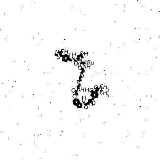 Cc1ncsc1-c1ccc(CNC(=O)[C@@H]2C[C@@H](O)CN2C(=O)C(NC(=O)CCOCCOCCNC(=O)COc2ccc3c(c2)[C@H](NC(=O)c2cc(-c4ccc(C(=O)N(C)C)c(O)c4)on2)CC3)C(C)(C)C)cc1